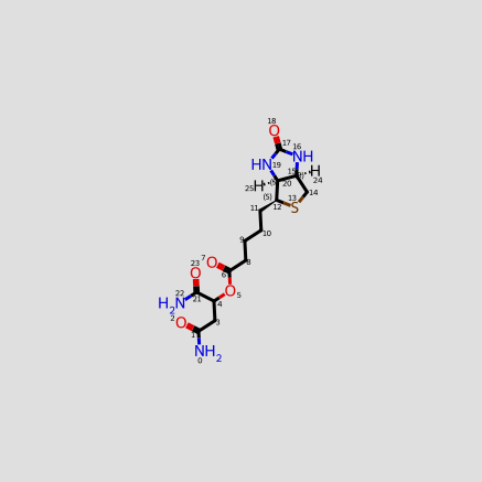 NC(=O)CC(OC(=O)CCCC[C@@H]1SC[C@@H]2NC(=O)N[C@@H]21)C(N)=O